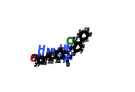 Cn1nc(Nc2cccc(-c3ccccc3)c2Cl)c2ccc(C=C(N)C3CCC(=O)N3)cc21